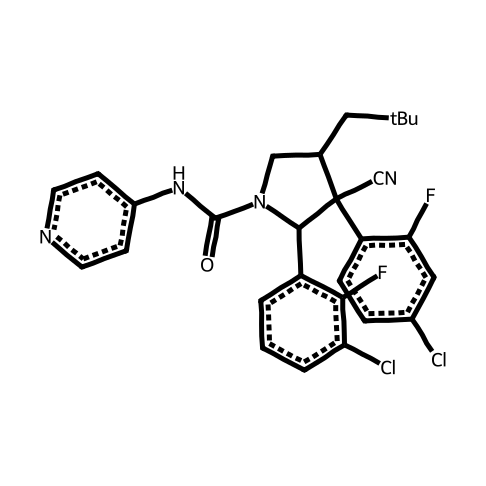 CC(C)(C)CC1CN(C(=O)Nc2ccncc2)C(c2cccc(Cl)c2F)C1(C#N)c1ccc(Cl)cc1F